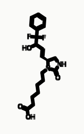 O=C(O)CCCCCCN1C(=O)NC[C@@H]1C=CC(O)C(F)(F)c1ccccc1